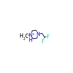 [CH2-][NH+]1CCN(CC(F)F)CC1